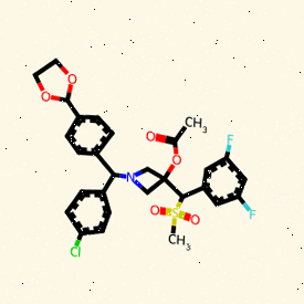 CC(=O)OC1(C(c2cc(F)cc(F)c2)S(C)(=O)=O)CN(C(c2ccc(Cl)cc2)c2ccc(C3OCCO3)cc2)C1